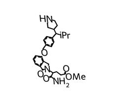 COC(=O)CCC(C(N)=O)N1Cc2c(OCc3ccc(C(C(C)C)C4CCNCC4)cc3)cccc2C1=O